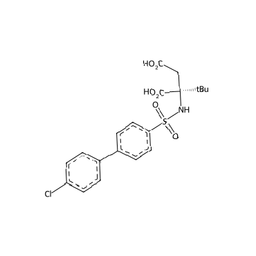 CC(C)(C)[C@](CC(=O)O)(NS(=O)(=O)c1ccc(-c2ccc(Cl)cc2)cc1)C(=O)O